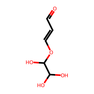 O=CC=CO[C](O)[C](O)O